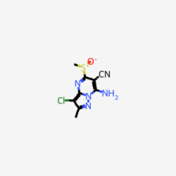 Cc1nn2c(N)c(C#N)c([S+](C)[O-])nc2c1Cl